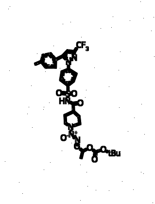 Cc1ccc(-c2cc(C(F)(F)F)nn2-c2ccc(S(=O)(=O)NC(=O)C3CCN(/[N+]([O-])=N/OC(C)OC(=O)OC(C)(C)C)CC3)cc2)cc1